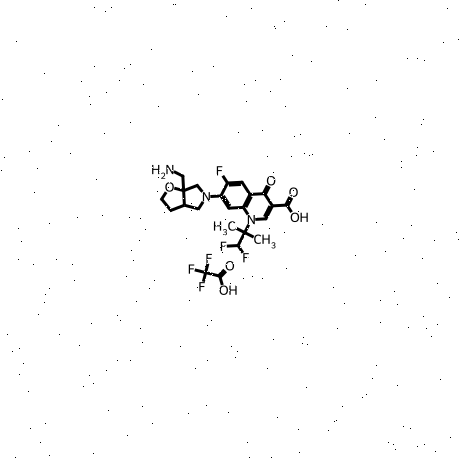 CC(C)(C(F)F)n1cc(C(=O)O)c(=O)c2cc(F)c(N3CC4CCOC4(CN)C3)cc21.O=C(O)C(F)(F)F